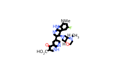 CNc1cc(F)cc2c1[nH]c1ncc(-c3cnc4[nH]cc(C(=O)O)c(=O)c4c3)c(N3C[C@H]4OCCN(C)[C@H]4C3)c12